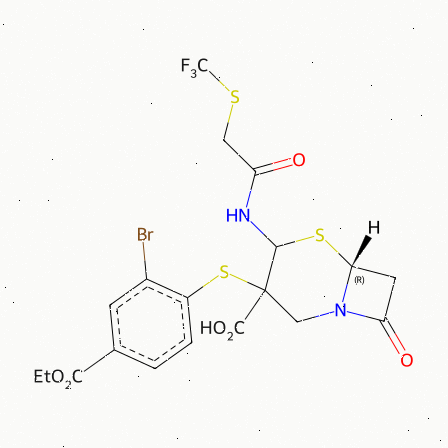 CCOC(=O)c1ccc(SC2(C(=O)O)CN3C(=O)C[C@H]3SC2NC(=O)CSC(F)(F)F)c(Br)c1